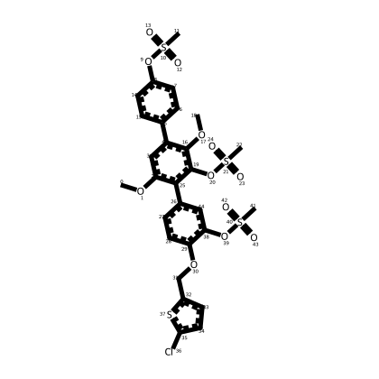 COc1cc(-c2ccc(OS(C)(=O)=O)cc2)c(OC)c(OS(C)(=O)=O)c1-c1ccc(OCc2ccc(Cl)s2)c(OS(C)(=O)=O)c1